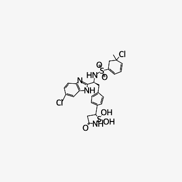 CC1(Cl)C=CC=C(S(=O)(=O)N[C@@H](Cc2ccc(C3CC(=O)NS3(O)O)cc2)c2nc3ccc(Cl)cc3[nH]2)C1